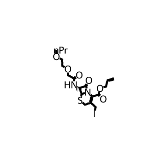 C=CCOC(=O)C1=C(CI)CSC2[C@H](NC(=O)COCCOCCC)C(=O)N12